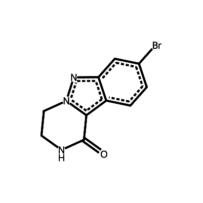 O=C1NCCn2nc3cc(Br)ccc3c21